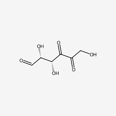 O=C[C@H](O)[C@@H](O)C(=O)C(=O)CO